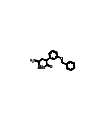 C=C(C)CC(C(=O)OC)c1cccc(OCc2ccccc2)c1